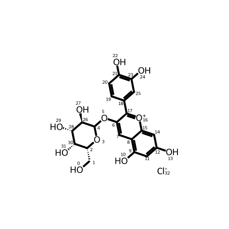 OC[C@H]1OC(Oc2cc3c(O)cc(O)cc3[o+]c2-c2ccc(O)c(O)c2)[C@H](O)[C@@H](O)[C@H]1O.[Cl-]